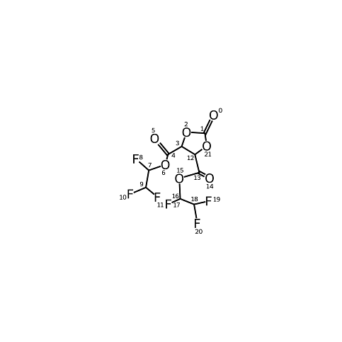 O=C1OC(C(=O)OC(F)C(F)F)C(C(=O)OC(F)C(F)F)O1